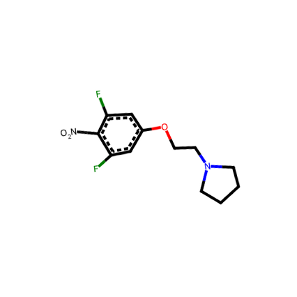 O=[N+]([O-])c1c(F)cc(OCCN2CCCC2)cc1F